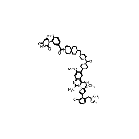 COc1cc2nc(C)nc(N[C@H](C)c3cc(-c4c(Cl)cccc4CN(C)C)cs3)c2cc1C1CCC(C(=O)N2CCN(CC3CCC4(CC3)CCN(C(=O)c3ccc(OC)c(-n5ccc(=O)[nH]c5=O)c3)CC4)CC2)CC1